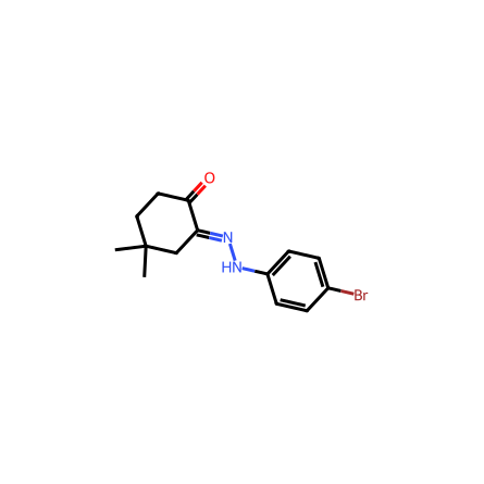 CC1(C)CCC(=O)C(=NNc2ccc(Br)cc2)C1